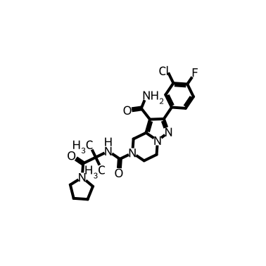 CC(C)(NC(=O)N1CCn2nc(-c3ccc(F)c(Cl)c3)c(C(N)=O)c2C1)C(=O)N1CCCC1